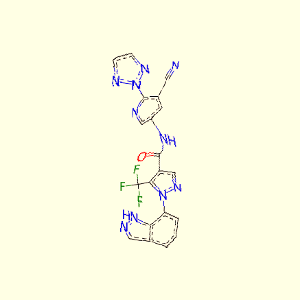 N#Cc1cc(NC(=O)c2cnn(-c3cccc4cn[nH]c34)c2C(F)(F)F)cnc1-n1nccn1